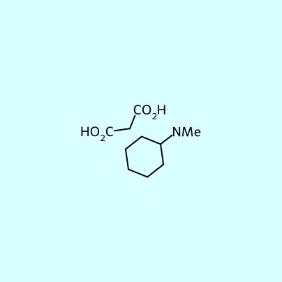 CNC1CCCCC1.O=C(O)CC(=O)O